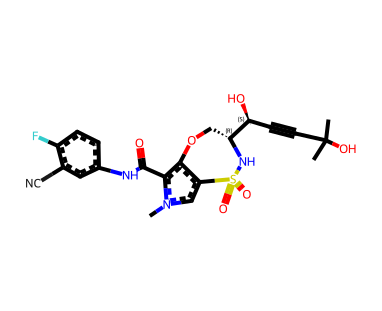 Cn1cc2c(c1C(=O)Nc1ccc(F)c(C#N)c1)OC[C@H]([C@@H](O)C#CC(C)(C)O)NS2(=O)=O